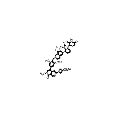 COc1cc(-c2cn(C)c(=O)c3cnc(N4CC(OC)C4)cc23)cc(O)c1CN1CCc2cc(-c3cccc4c3n(C)c(=O)n4C3CCC(=O)NC3=O)cc(F)c2C1